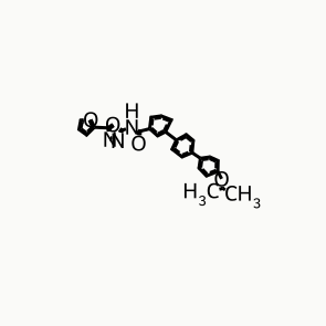 CC(C)Oc1ccc(-c2ccc(-c3cccc(C(=O)Nc4nnc(-c5ccco5)o4)c3)cc2)cc1